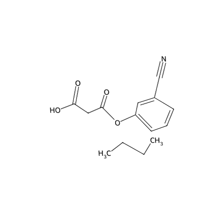 CCCC.N#Cc1cccc(OC(=O)CC(=O)O)c1